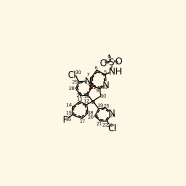 CS(=O)(=O)Nc1cccc(CC(c2ccc(F)cc2)(c2ccc(Cl)nc2)c2ccc(Cl)nc2)n1